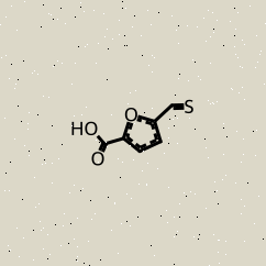 O=C(O)c1ccc(C=S)o1